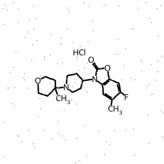 Cc1cc2c(cc1F)oc(=O)n2C1CCN(C2(C)CCOCC2)CC1.Cl